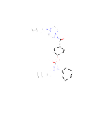 CN1CCN(C(=O)c2ccc(OC(=O)N(C)c3ccccc3)cc2)CC1